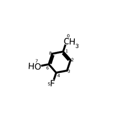 CC1=CCC(F)C(O)=C1